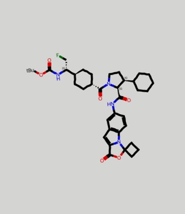 CC(C)(C)OC(=O)N[C@H](CF)[C@H]1CC[C@H](C(=O)N2CC[C@@H](C3CCCCC3)[C@H]2C(=O)Nc2ccc3c(c2)cc2n3C3(CCC3)OC2=O)CC1